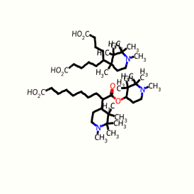 CN1CCC(C)(C(CCCCC(=O)O)CCCC(=O)O)C(C)(C)C1(C)C.CN1CCC(OC(=O)C(CCCCCCCC(=O)O)C2CCN(C)C(C)(C)C2(C)C)C(C)(C)C1(C)C